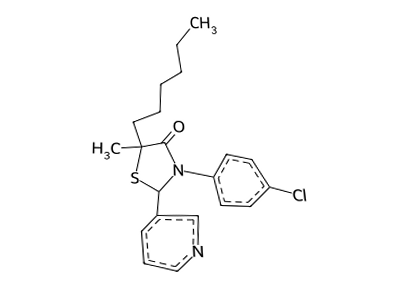 CCCCCCC1(C)SC(c2cccnc2)N(c2ccc(Cl)cc2)C1=O